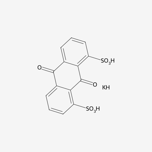 O=C1c2cccc(S(=O)(=O)O)c2C(=O)c2c1cccc2S(=O)(=O)O.[KH]